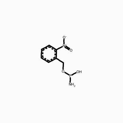 NP(O)OCc1ccccc1[N+](=O)[O-]